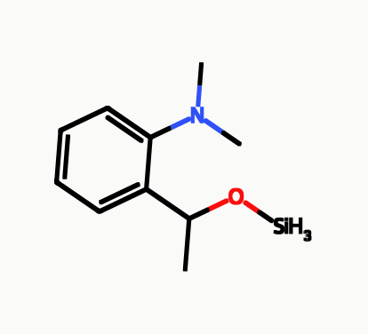 CC(O[SiH3])c1ccccc1N(C)C